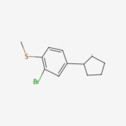 CSc1ccc(C2[CH]CCC2)cc1Br